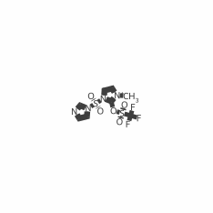 C[n+]1ccn(S(=O)(=O)n2ccnc2)c1OS(=O)(=O)C(F)(F)F